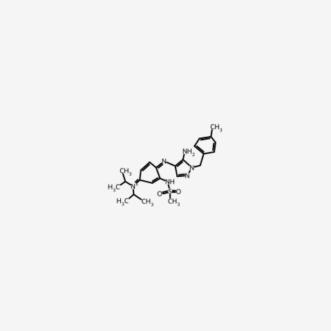 Cc1ccc(Cn2ncc(/N=C3/C=CC(=[N+](C(C)C)C(C)C)C=C3NS(C)(=O)=O)c2N)cc1